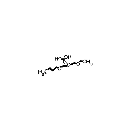 CCCCOCCOCCOCC.O=C(O)O